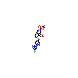 CC(C)(C)OC(=O)N1CCC2(CCCN(Cc3ccc(-n4cc(F)cn4)nc3)C2=C=O)CC1